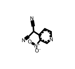 N#CC(C#N)c1ccncc1[N+](=O)[O-]